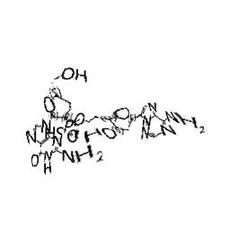 Nc1nc2c(ncn2[C@@H]2O[C@H](CO)C[C@H]2P(=O)(S)OCC[C@H]2O[C@@H](c3cnc4c(N)ncnn34)C[C@@H]2O)c(=O)[nH]1